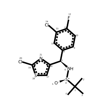 CC(C)(C)[S@@+]([O-])N[C@H](c1ccc(F)c(Cl)c1)c1csc(Cl)n1